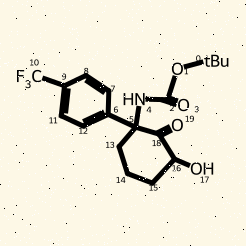 CC(C)(C)OC(=O)NC1(c2ccc(C(F)(F)F)cc2)CCCC(O)C1=O